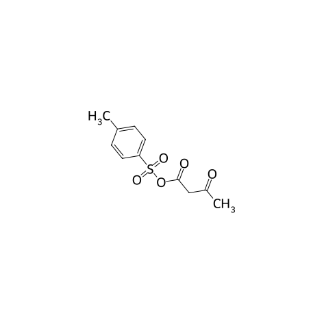 CC(=O)CC(=O)OS(=O)(=O)c1ccc(C)cc1